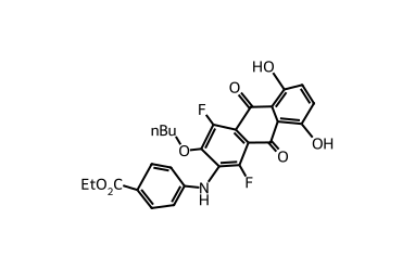 CCCCOc1c(F)c2c(c(F)c1Nc1ccc(C(=O)OCC)cc1)C(=O)c1c(O)ccc(O)c1C2=O